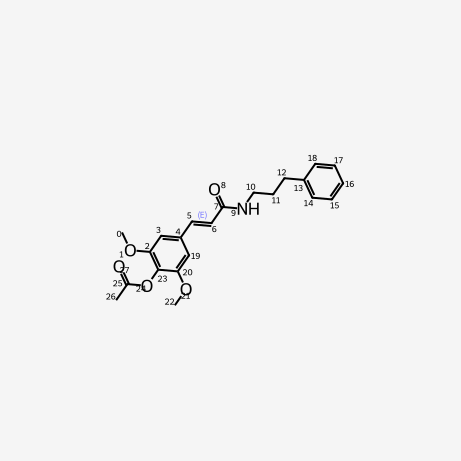 COc1cc(/C=C/C(=O)NCCCc2ccccc2)cc(OC)c1OC(C)=O